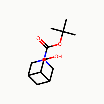 CC(C)(C)OC(=O)N1CC2CC(C1)C2CO